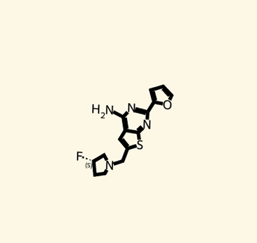 Nc1nc(-c2ccco2)nc2sc(CN3CC[C@H](F)C3)cc12